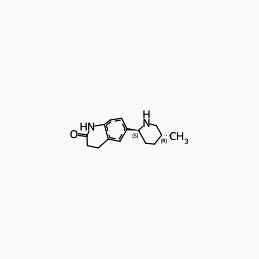 C[C@@H]1CC[C@@H](c2ccc3c(c2)CCC(=O)N3)NC1